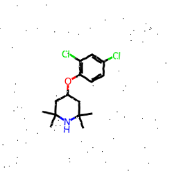 CC1(C)CC(Oc2ccc(Cl)cc2Cl)CC(C)(C)N1